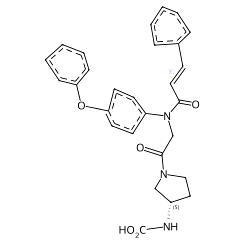 O=C(O)N[C@H]1CCN(C(=O)CN(C(=O)/C=C/c2ccccc2)c2ccc(Oc3ccccc3)cc2)C1